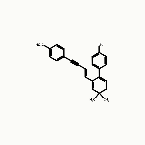 CC1(C)C=C(C=CC#Cc2ccc(C(=O)O)cc2)C(c2ccc(C(C)(C)C)cc2)=CC1